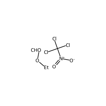 CCOC=O.O=[N+]([O-])C(Cl)(Cl)Cl